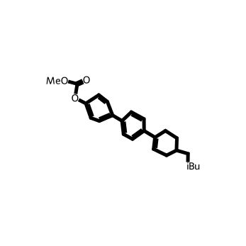 CCC(C)CC1CC=C(c2ccc(-c3ccc(OC(=O)OC)cc3)cc2)CC1